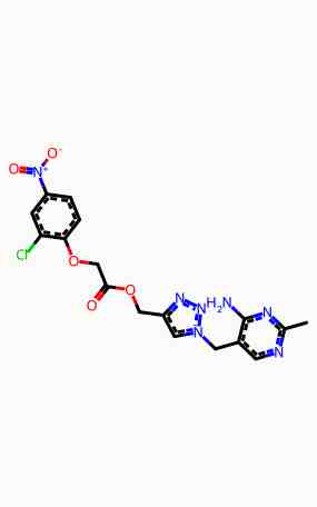 Cc1ncc(Cn2cc(COC(=O)COc3ccc([N+](=O)[O-])cc3Cl)nn2)c(N)n1